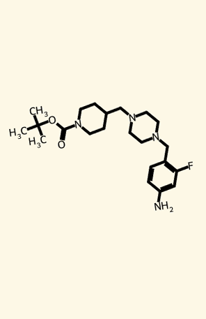 CC(C)(C)OC(=O)N1CCC(CN2CCN(Cc3ccc(N)cc3F)CC2)CC1